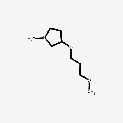 COCCCOC1CCN(C)C1